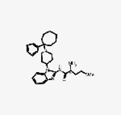 CSCC[C@H](N)C(=O)Nc1nc2ccccc2n1C1CCN(C2(c3ccccc3)CCCCCC2)CC1